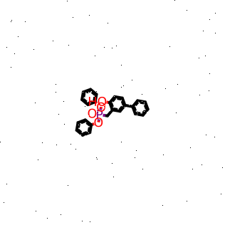 O=P(Cc1cc(-c2ccccc2)ccc1O)(Oc1ccccc1)Oc1ccccc1